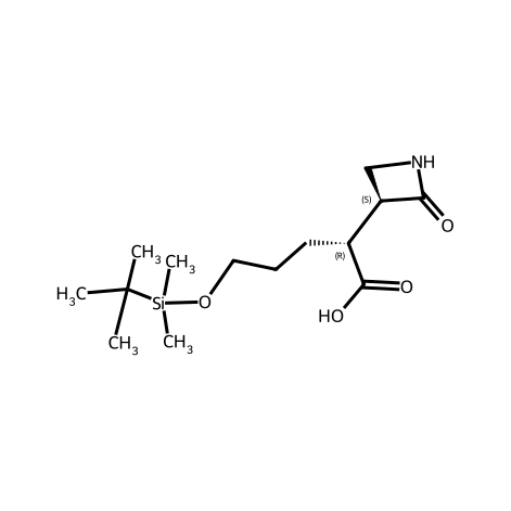 CC(C)(C)[Si](C)(C)OCCC[C@@H](C(=O)O)[C@H]1CNC1=O